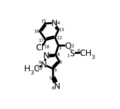 CSOC(c1cc(C#N)n(C)n1)c1cnccc1Cl